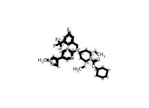 CC[C@@H]1C[C@H](N(Cc2cc(F)cc(C(F)(F)F)c2)c2ncc(-c3cnn(C)c3)cn2)C[C@H](CC)N1C(=O)OC1CCCCC1